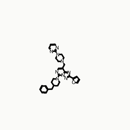 c1ccc(CC2CCN(c3ncc(CN4CCN(c5ncccn5)CC4)c4nc(-c5ccco5)nn34)CC2)cc1